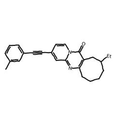 CCC1CCCCc2nc3cc(C#Cc4cccc(C)c4)ccn3c(=O)c2C1